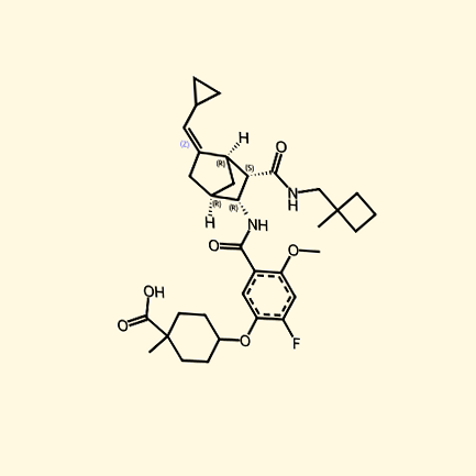 COc1cc(F)c(OC2CCC(C)(C(=O)O)CC2)cc1C(=O)N[C@@H]1[C@H]2C/C(=C/C3CC3)[C@H](C2)[C@@H]1C(=O)NCC1(C)CCC1